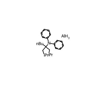 [AlH3].[CH2]CCCC(CC(C)C)(CC(C)C)N(c1ccccc1)c1ccccc1